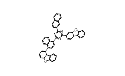 C1=CC2Oc3ccccc3C2C(c2ccc(-c3nc(C4=CC5Oc6ccccc6C5C=C4)nc(-c4ccc5ccccc5c4)n3)c3ccccc23)=C1